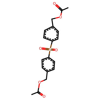 CC(=O)OCc1ccc(S(=O)(=O)c2ccc(COC(C)=O)cc2)cc1